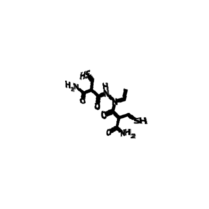 CCN(NC(=O)C(CS)C(N)=O)C(=O)C(CS)C(N)=O